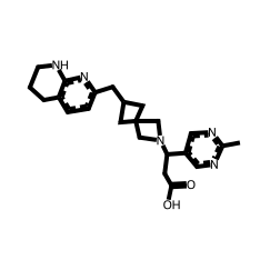 Cc1ncc(C(CC(=O)O)N2CC3(CC(Cc4ccc5c(n4)NCCC5)C3)C2)cn1